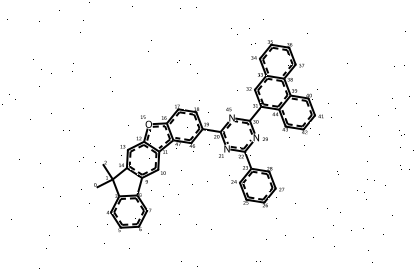 CC1(C)c2ccccc2-c2cc3c(cc21)oc1ccc(-c2nc(-c4ccccc4)nc(-c4cc5ccccc5c5ccccc45)n2)cc13